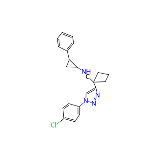 Clc1ccc(-n2cc(C3(CNC4CC4c4ccccc4)CCC3)nn2)cc1